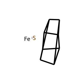 C12C3C4C1C1C2C3C41.[Fe].[S]